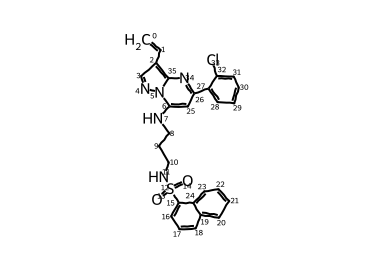 C=Cc1cnn2c(NCCCNS(=O)(=O)c3cccc4ccccc34)cc(-c3ccccc3Cl)nc12